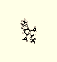 CC(C)(C)OC(=O)N1[C@@H](C2CC2)CC(OS(=O)(=O)C(F)(F)F)=C[C@H]1C1CC1